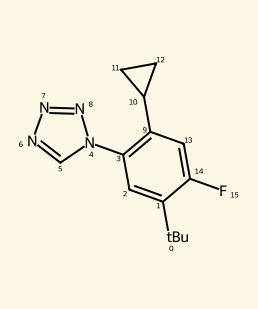 CC(C)(C)c1cc(-n2cnnn2)c(C2CC2)cc1F